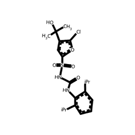 CC(C)c1cccc(C(C)C)c1NC(=O)NS(=O)(=O)c1cc(C(C)(C)O)c(Cl)o1